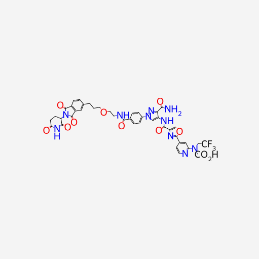 NC(=O)c1nn(-c2ccc(C(=O)NCCOCCCc3ccc4c(c3)C(=O)N(C3CCC(=O)NC3=O)C4=O)cc2)cc1NC(=O)c1coc(-c2ccnc(N(CC(F)(F)F)C(=O)O)c2)n1